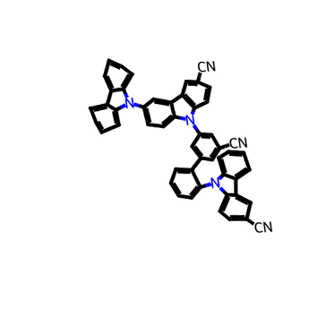 N#Cc1cc(-c2ccccc2-n2c3ccccc3c3cc(C#N)ccc32)cc(-n2c3ccc(C#N)cc3c3cc(-n4c5ccccc5c5ccccc54)ccc32)c1